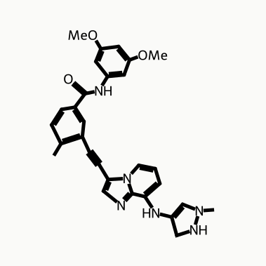 COc1cc(NC(=O)c2ccc(C)c(C#Cc3cnc4c(NC5=CN(C)NC5)cccn34)c2)cc(OC)c1